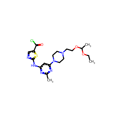 CCOC(C)OCCN1CCN(c2cc(Nc3ncc(C(=O)Cl)s3)nc(C)n2)CC1